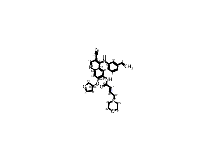 C=Cc1cccc(Nc2c(C#N)cnc3cc(O[C@H]4CCOC4)c(NC(=O)/C=C/CN4CCOCC4)cc23)c1